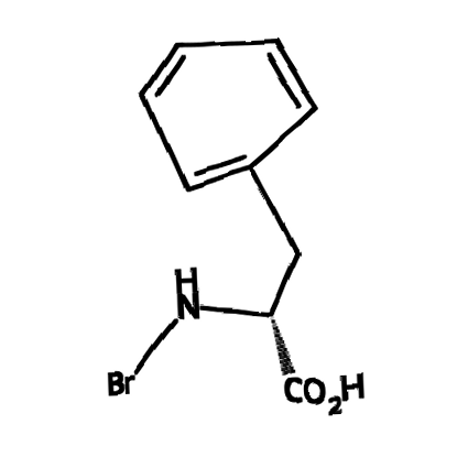 O=C(O)[C@@H](Cc1ccccc1)NBr